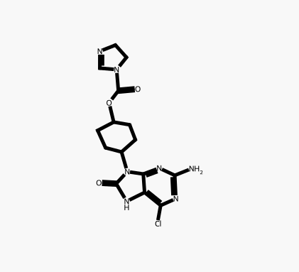 Nc1nc(Cl)c2[nH]c(=O)n(C3CCC(OC(=O)N4C=NCC4)CC3)c2n1